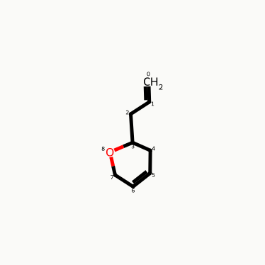 C=CCC1CC=CCO1